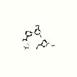 CC(=O)Nc1ccc(CC(=O)O)c(OCc2cc(-c3cccc(C(CF)=NS(=O)(=O)C(C)(C)C)c3)c3occc3c2)c1